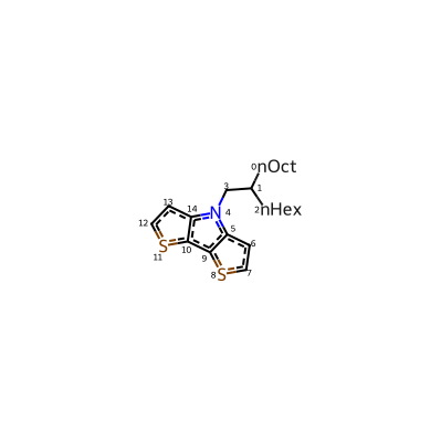 CCCCCCCCC(CCCCCC)Cn1c2ccsc2c2sccc21